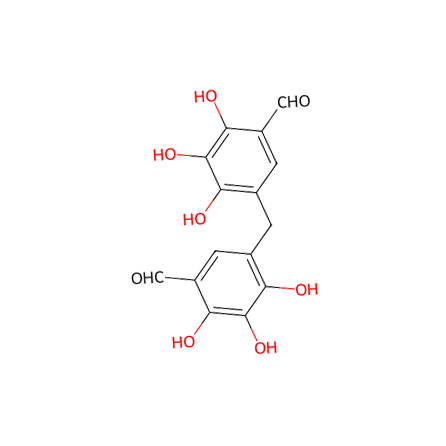 O=Cc1cc(Cc2cc(C=O)c(O)c(O)c2O)c(O)c(O)c1O